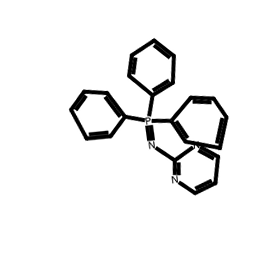 c1ccc(P(=Nc2ncccn2)(c2ccccc2)c2ccccc2)cc1